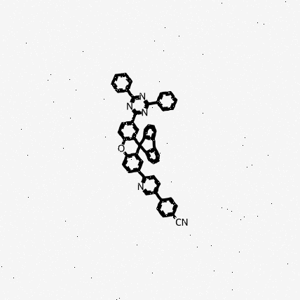 N#Cc1ccc(-c2ccc(-c3ccc4c(c3)C3(c5cc(-c6nc(-c7ccccc7)nc(-c7ccccc7)n6)ccc5O4)c4ccccc4-c4ccccc43)nc2)cc1